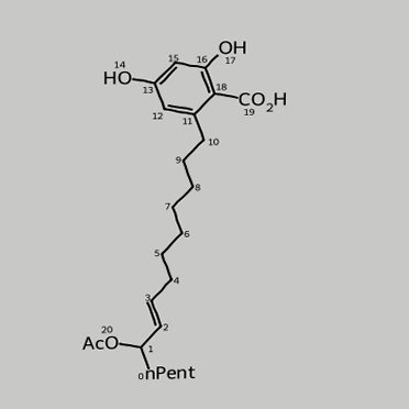 CCCCCC(/C=C/CCCCCCCc1cc(O)cc(O)c1C(=O)O)OC(C)=O